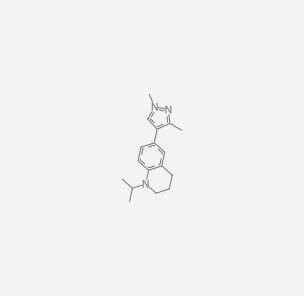 Cc1nn(C)cc1-c1ccc2c(c1)CCCN2C(C)C